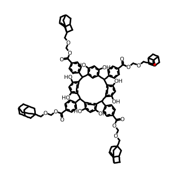 O=C(OCOCC1=C2C3CC(C1)CC2C3)c1ccc(C2c3cc(c(O)cc3O)C(c3ccc(C(=O)OCOCC45CC=C6C(CC6C4)C5)cc3)c3cc(c(O)cc3O)C(c3ccc(C(=O)OCOCC45CC6CC(CC(C6)C4)C5)cc3)c3cc(c(O)cc3O)C(c3ccc(C(=O)OCOCC45CC6CC=C4C(C6)C5)cc3)c3cc2c(O)cc3O)cc1